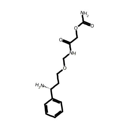 NC(=O)OCC(=O)NCOCC[C@@H](N)c1ccccc1